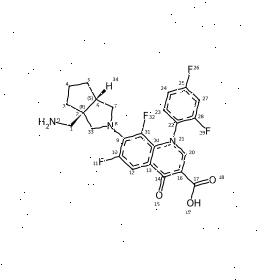 NC[C@@]12CCC[C@@H]1CN(c1c(F)cc3c(=O)c(C(=O)O)cn(-c4ccc(F)cc4F)c3c1F)C2